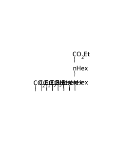 CCCCCCC.CCCCCCC.CCCCCCC.CCCCCCC.CCCCCCC.CCOC(C)=O.CCOC(C)=O.CCOC(C)=O.CCOC(C)=O.CCOC(C)=O